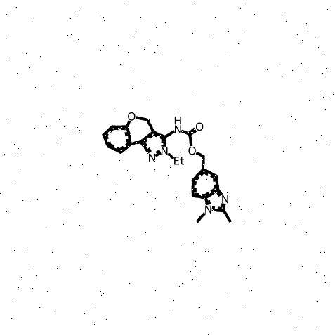 CCn1nc2c(c1NC(=O)OCc1ccc3c(c1)nc(C)n3C)COc1ccccc1-2